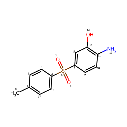 Cc1ccc(S(=O)(=O)c2ccc(N)c(O)c2)cc1